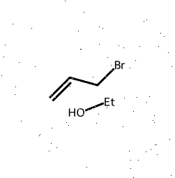 C=CCBr.CCO